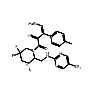 CN/C=C(\C(=N)C(=O)N1CC(F)(F)C[C@@H](C)C1CNc1ncc(C(F)(F)F)cn1)c1ccc(C)cc1